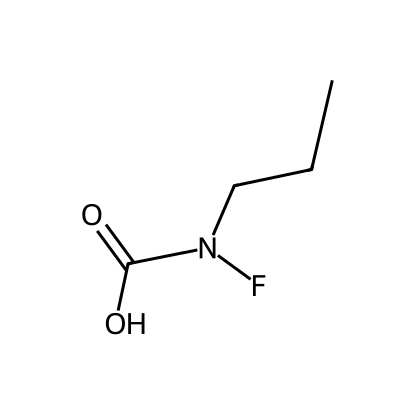 CCCN(F)C(=O)O